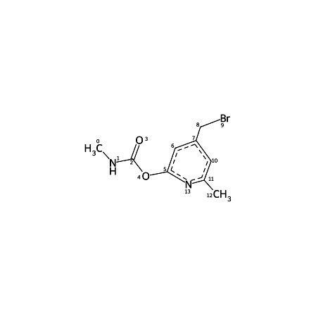 CNC(=O)Oc1cc(CBr)cc(C)n1